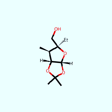 CC[C@]1(CO)O[C@@H]2OC(C)(C)O[C@@H]2[C@H]1C